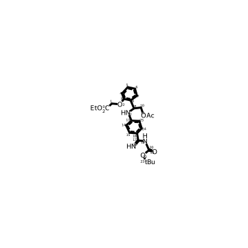 CCOC(=O)COc1ccccc1C(COC(C)=O)Nc1ccc(C(=N)NC(=O)OC(C)(C)C)cc1